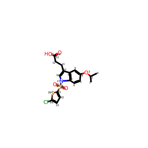 CC(C)Oc1ccc2c(c1)c(CCC(=O)O)cn2S(=O)(=O)c1ccc(Cl)s1